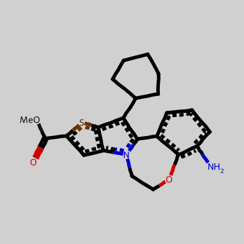 COC(=O)c1cc2c(s1)c(C1CCCCC1)c1n2CCOc2c(N)cccc2-1